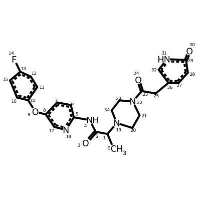 CC(C(=O)Nc1ccc(Oc2ccc(F)cc2)cn1)N1CCN(C(=O)Cc2ccc(=O)[nH]c2)CC1